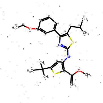 C=C(OC)c1sc(C(C)(C)C)cc1Nc1nc(-c2cccc(OCC)c2)c(CC(C)C)s1